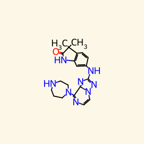 CC1(C)C(=O)Nc2cc(Nc3nc4c(N5CCCNCC5)nccn4n3)ccc21